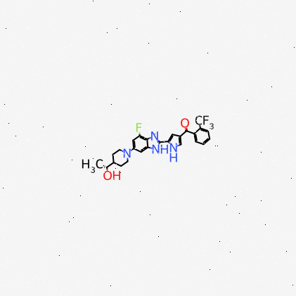 C[C@@H](O)C1CCN(c2cc(F)c3nc(-c4cc(C(=O)c5ccccc5C(F)(F)F)c[nH]4)[nH]c3c2)CC1